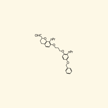 CCCc1cc(OCc2ccccc2)ccc1OCCCOc1ccc2c(c1CCC)OC(C=O)CC2